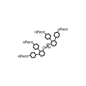 CCCCCc1ccc(-c2cccc(OPOc3cccc(-c4ccc(CCCCC)cc4)c3-c3ccc(CCCCC)cc3)c2-c2ccc(CCCCC)cc2)cc1